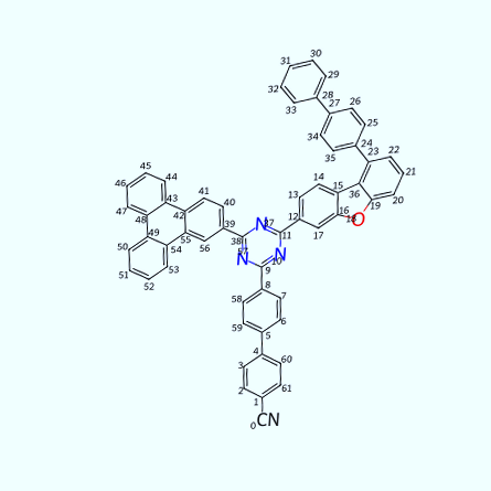 N#Cc1ccc(-c2ccc(-c3nc(-c4ccc5c(c4)oc4cccc(-c6ccc(-c7ccccc7)cc6)c45)nc(-c4ccc5c6ccccc6c6ccccc6c5c4)n3)cc2)cc1